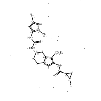 CCOC(=O)c1c(NC(=O)[C@H]2C[C@H]2F)sc2c1C[C@@H](NC(=S)Nc1cc(C(F)(F)F)nn1C)CC2